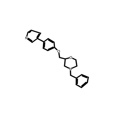 c1ccc(CN2CCOC(COc3ccc(-c4cccnc4)cc3)C2)cc1